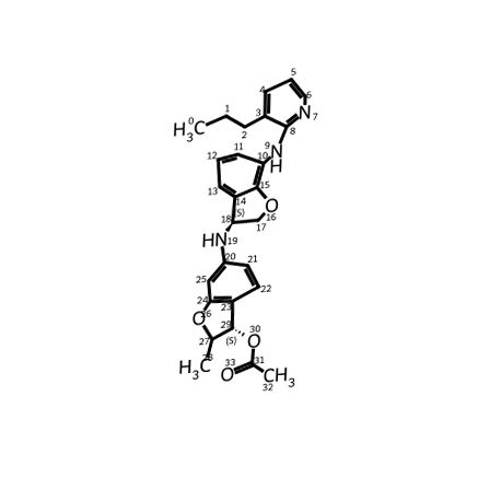 CCCc1cccnc1Nc1cccc2c1OC[C@H]2Nc1ccc2c(c1)OC(C)[C@H]2OC(C)=O